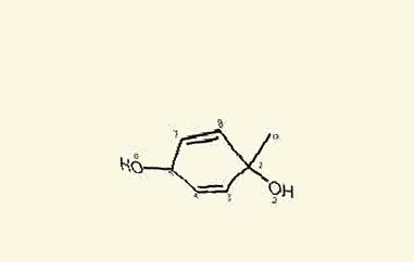 CC1(O)C=CC(O)C=C1